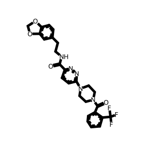 O=C(NCCc1ccc2c(c1)OCO2)c1ccc(N2CCN(C(=O)c3ccccc3C(F)(F)F)CC2)nn1